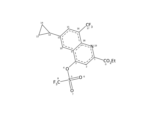 CCOC(=O)c1cc(OS(=O)(=O)C(F)(F)F)c2cc(C3CC3)cc(C(F)(F)F)c2n1